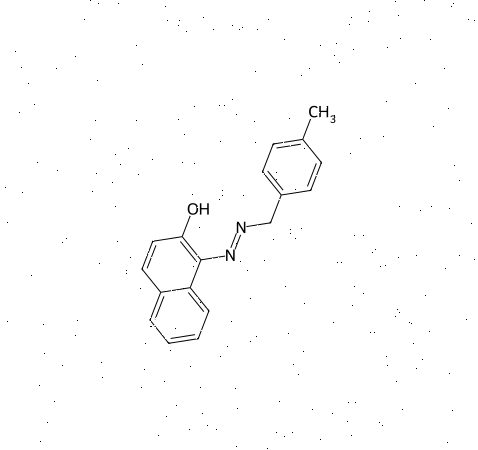 Cc1ccc(CN=Nc2c(O)ccc3ccccc23)cc1